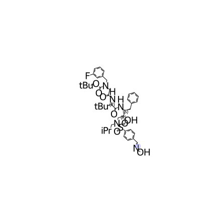 CC(C)CN(C[C@@H](O)[C@H](Cc1ccccc1)NC(=O)[C@H](NC(=O)CN(Cc1cccc(F)c1)C(=O)OC(C)(C)C)C(C)(C)C)S(=O)(=O)c1ccc(/C=N/O)cc1